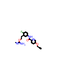 C#CCOc1ccc(C(=O)Nc2ccc(F)c(CCO/C(N)=N\C)c2)nc1